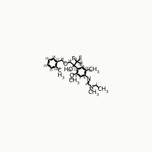 CCN(C)C=Nc1cc(OC)c(C(O)(COCc2ccccc2C)C(F)(F)F)cc1C